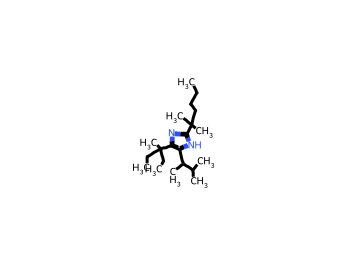 CCCCC(C)(C)c1nc(C(C)(CC)CC)c(C(C)C(C)C)[nH]1